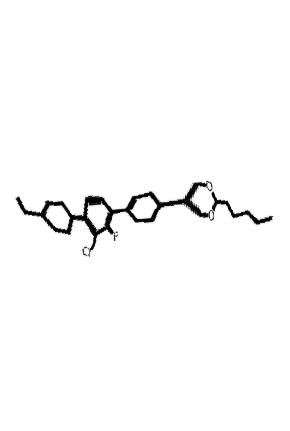 CCCCCC1OCC(C2CC=C(c3ccc(C4CCC(CC)CC4)c(Cl)c3F)CC2)CO1